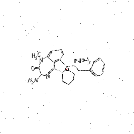 CN1C(=O)C(N)N=C(C2CCCCC2)c2c(C(=O)[C@H](N)Cc3ccccc3)cccc21